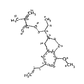 C=CCc1cc2c(c(OC)c1)OCN(C(CC)COC(=O)C(=C)C)C2